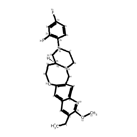 CCc1cc2cc3c(cc2nc1OC)CN1CCN(c2ccc(F)cc2F)C[C@@H]1CCO3